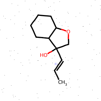 C/C=C/C1(O)COC2CCCCC21